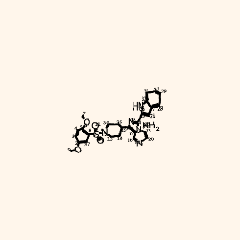 COc1ccc(OC)c(S(=O)(=O)N2CCC(C3=C4C=NC=C[N+]4(N)C(c4cc5ccccc5[nH]4)=N3)CC2)c1